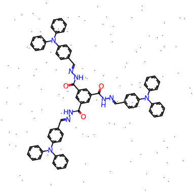 O=C(N/N=C/c1ccc(N(c2ccccc2)c2ccccc2)cc1)c1cc(C(=O)N/N=C/c2ccc(N(c3ccccc3)c3ccccc3)cc2)cc(C(=O)N/N=C/c2ccc(N(c3ccccc3)c3ccccc3)cc2)c1